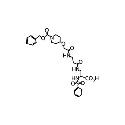 O=C(CCNC(=O)COC1CCN(C(=O)OCc2ccccc2)CC1)NCC(NS(=O)(=O)c1ccccc1)C(=O)O